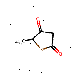 [CH2]C1SC(=O)CC1=O